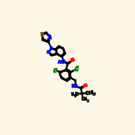 CC(C)(C)C(=O)NCc1ccc(Cl)c(C(=O)Nc2cccc3c2cnn3-c2cscn2)c1Cl